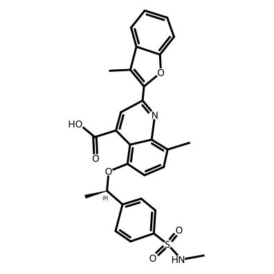 CNS(=O)(=O)c1ccc([C@@H](C)Oc2ccc(C)c3nc(-c4oc5ccccc5c4C)cc(C(=O)O)c23)cc1